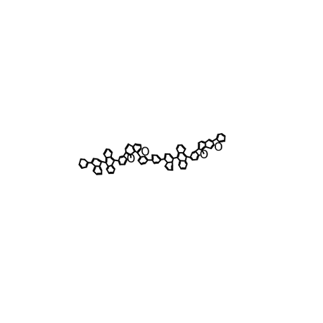 C1=CCCC(c2ccc(-c3c4ccccc4c(-c4ccc5oc6c(ccc7ccc8oc9c(-c%10ccc(C%11=CC=C(c%12c%13ccccc%13c(-c%13ccc%14oc%15c%16cc%17oc%18ccccc%18c%17cc%16ccc%15c%14c%13)c%13ccccc%12%13)C%12C=CC=CC%11%12)cc%10)cccc9c8c76)c5c4)c4ccccc34)c3ccccc23)=C1